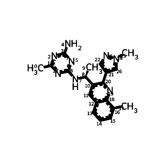 Cc1nc(N)nc(N[C@@H](C)c2cc3cccc(C)c3nc2-c2cnn(C)c2)n1